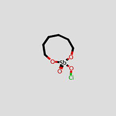 [O]=[Sb]1([O]Cl)[O]CCCCCC[O]1